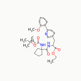 CCOC(=O)C(Cc1ccc(-c2ccccc2OC)nc1)NC(=O)C1(NC(=O)OC(C)(C)C)CCCC1